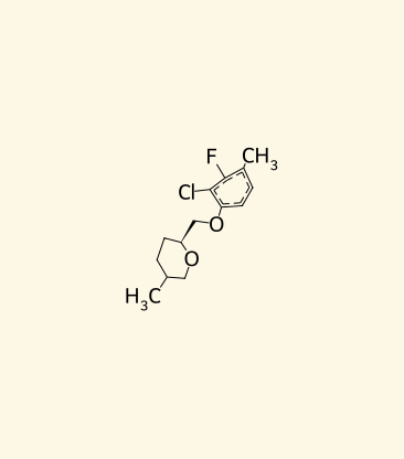 Cc1ccc(OC[C@@H]2CCC(C)CO2)c(Cl)c1F